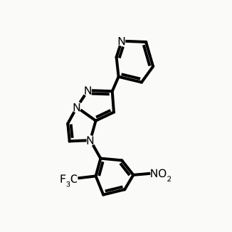 O=[N+]([O-])c1ccc(C(F)(F)F)c(-n2ccn3nc(-c4cccnc4)cc23)c1